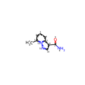 Cc1cccc2c(C(N)=O)cnn12